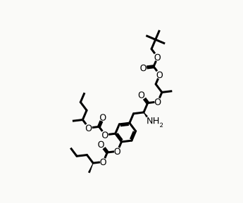 CCCC(C)OC(=O)Oc1cc(C[C@H](N)C(=O)OC(C)COC(=O)OCC(C)(C)C)ccc1OC(=O)O[C@@H](C)CCC